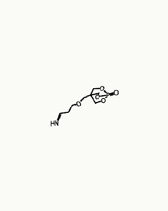 N=CCCOCC12COP(=O)(OC1)OC2